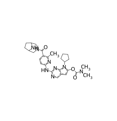 Cc1nc(Nc2ncc3cc(OC(=O)N(C)C)n(C4CCCC4)c3n2)ccc1C(=O)N1CC2CCC(C1)N2